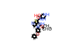 C=CC=O.O=C(NC1CCNCC1O)c1sc2nccc3c2c1NC(=O)N3c1ccc(Oc2ccccc2)cc1